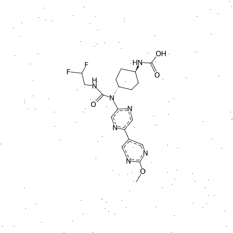 COc1ncc(-c2cnc(N(C(=O)NCC(F)F)[C@H]3CC[C@H](NC(=O)O)CC3)cn2)cn1